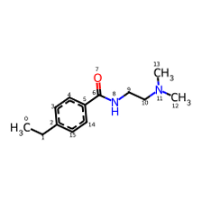 CCc1ccc(C(=O)NCCN(C)C)cc1